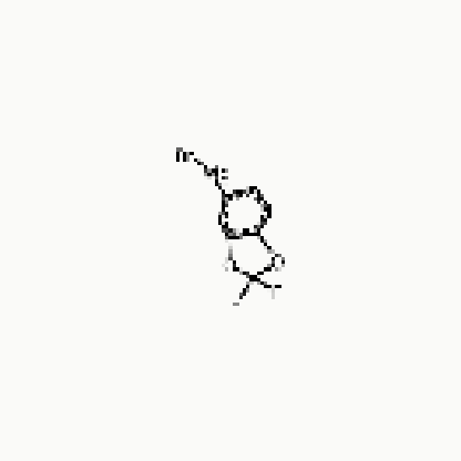 FC1(F)Oc2cc[c]([Mg][Br])cc2O1